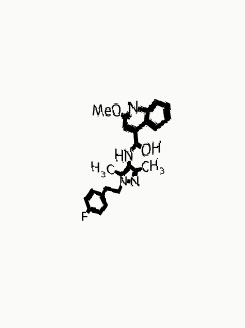 COc1cc(C(O)Nc2c(C)nn(CCc3ccc(F)cc3)c2C)c2ccccc2n1